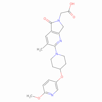 COc1ccc(OC2CCN(c3nc4c(cc3C)C(=O)N(CC(=O)O)C4)CC2)cn1